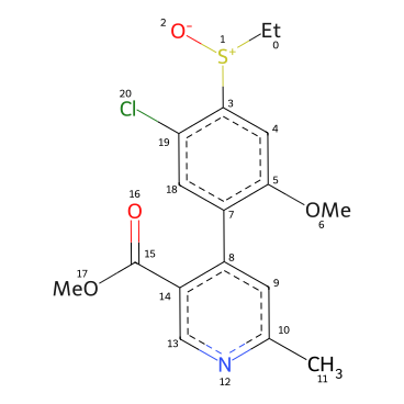 CC[S+]([O-])c1cc(OC)c(-c2cc(C)ncc2C(=O)OC)cc1Cl